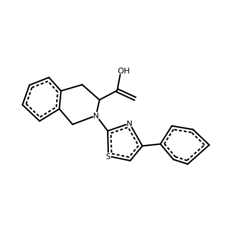 C=C(O)C1Cc2ccccc2CN1c1nc(-c2ccccc2)cs1